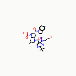 COCCCNc1nc(C(C)(C)C)ncc1C(=O)N(CC(C)C)[C@H]1C[C@@H](C(=O)N2CCc3cc(F)ccc32)CN(C(=O)O)C1